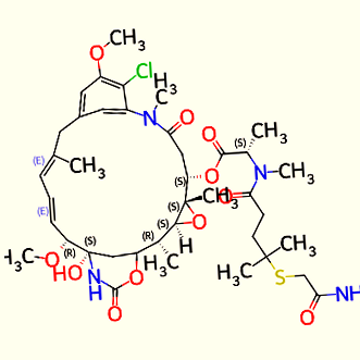 COc1cc2cc(c1Cl)N(C)C(=O)C[C@H](OC(=O)[C@H](C)N(C)C(=O)CCC(C)(C)SCC(N)=O)[C@]1(C)O[C@H]1[C@H](C)C1C[C@@](O)(NC(=O)O1)[C@H](OC)/C=C/C=C(\C)C2